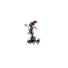 CC(C)[C@H](NC(=O)CCCCCN1C(=O)C=CC1=O)C(=O)N[C@@H](CCCNC(N)=O)C(=O)Nc1ccc(COC(=O)Nc2ccc3c4c(cccc24)C(=O)N(CCN(C)CCCN(C)CCN2C(=O)c4cccc5c(-n6ccnc6)ccc(c45)C2=O)C3=O)cc1